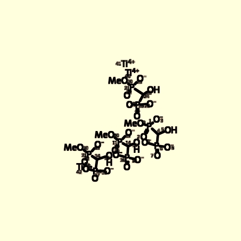 COP(=O)([O-])C(O)P(=O)([O-])[O-].COP(=O)([O-])C(O)P(=O)([O-])[O-].COP(=O)([O-])C(O)P(=O)([O-])[O-].COP(=O)([O-])C(O)P(=O)([O-])[O-].[Ti+4].[Ti+4].[Ti+4]